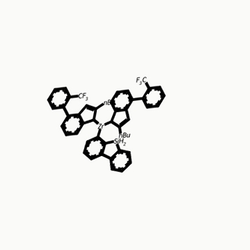 CCCCC1=Cc2c(-c3ccccc3C(F)(F)F)cccc2[CH]1[Zr]([c]1cccc2c1[SiH2]c1ccccc1-2)[CH]1C(CCCC)=Cc2c(-c3ccccc3C(F)(F)F)cccc21